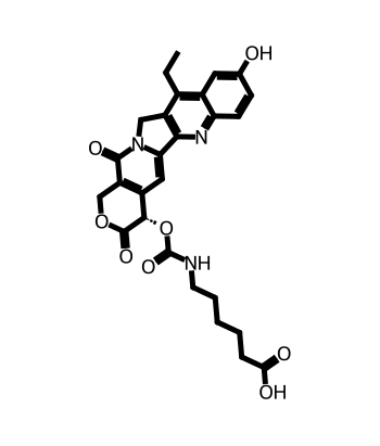 CCc1c2c(nc3ccc(O)cc13)-c1cc3c(c(=O)n1C2)COC(=O)[C@H]3OC(=O)NCCCCCC(=O)O